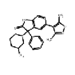 Cc1noc(C)c1-c1ccc2c(c1)C(c1ccccc1)(N1CCC[C@H](C)C1)C(=O)N2